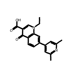 CCn1cc(C(=O)O)c(=O)c2ccc(-c3cc(C)nc(C)c3)cc21